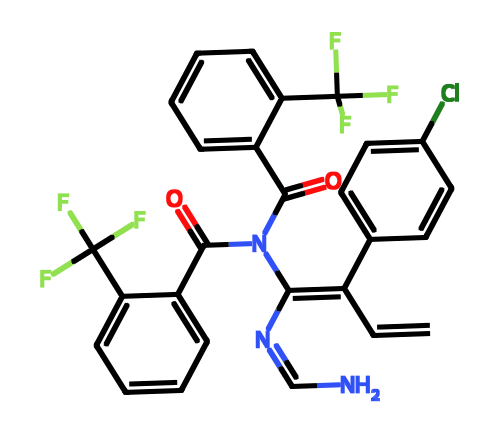 C=C/C(=C(\N=C/N)N(C(=O)c1ccccc1C(F)(F)F)C(=O)c1ccccc1C(F)(F)F)c1ccc(Cl)cc1